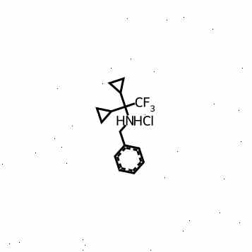 Cl.FC(F)(F)C(NCc1ccccc1)(C1CC1)C1CC1